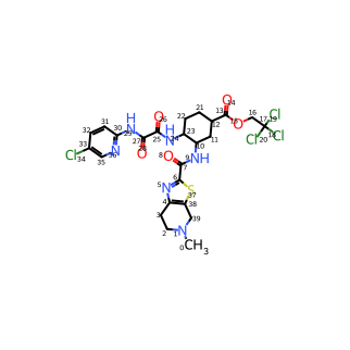 CN1CCc2nc(C(=O)NC3CC(C(=O)OCC(Cl)(Cl)Cl)CCC3NC(=O)C(=O)Nc3ccc(Cl)cn3)sc2C1